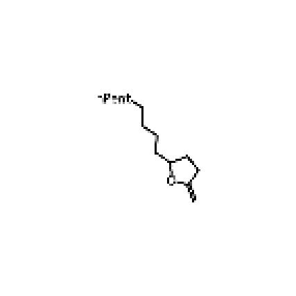 C=C1CCC(CCCCCCCCC)O1